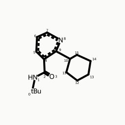 CC(C)(C)NC(=O)c1cccnc1C1CCCCC1